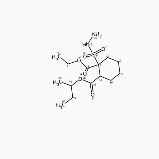 CCOC(=O)C1(S(=O)(=O)NN)CCCCC1C(=O)OC(C)CC